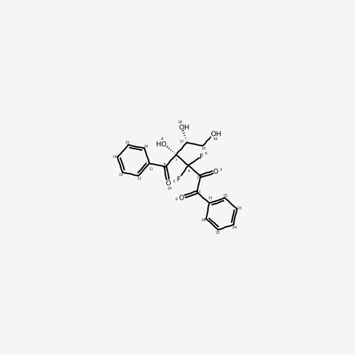 O=C(C(=O)C(F)(F)[C@@](O)(C(=O)c1ccccc1)[C@H](O)CO)c1ccccc1